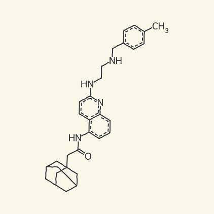 Cc1ccc(CNCCNc2ccc3c(NC(=O)CC45CC6CC(CC(C6)C4)C5)cccc3n2)cc1